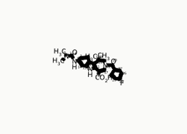 CN(C)C(=O)Nc1ccc2c3c([nH]c2c1)C(C(=O)O)=CN(C(=O)c1ccc(F)cc1)CC3(C)C